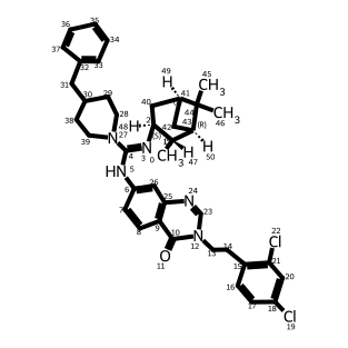 C[C@@H]1[C@@H](N=C(Nc2ccc3c(=O)n(CCc4ccc(Cl)cc4Cl)cnc3c2)N2CCC(Cc3ccccc3)CC2)C[C@@H]2C[C@H]1C2(C)C